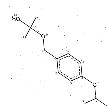 CC(C)Oc1ccc(COC(C)(C)O)cc1